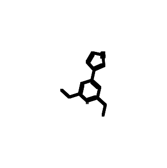 CCc1[c]c(CC)cc(-c2ccsc2)c1